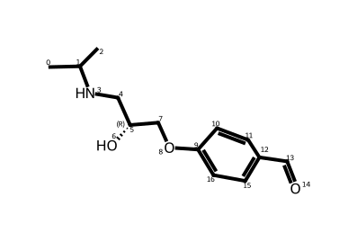 CC(C)NC[C@@H](O)COc1ccc(C=O)cc1